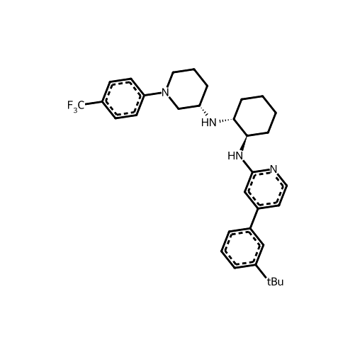 CC(C)(C)c1cccc(-c2ccnc(N[C@@H]3CCCC[C@H]3N[C@H]3CCCN(c4ccc(C(F)(F)F)cc4)C3)c2)c1